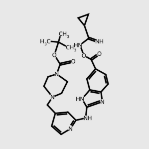 CC(C)(C)OC(=O)N1CCN(Cc2ccnc(Nc3nc4ccc(C(=O)ONC(=N)C5CC5)cc4[nH]3)c2)CC1